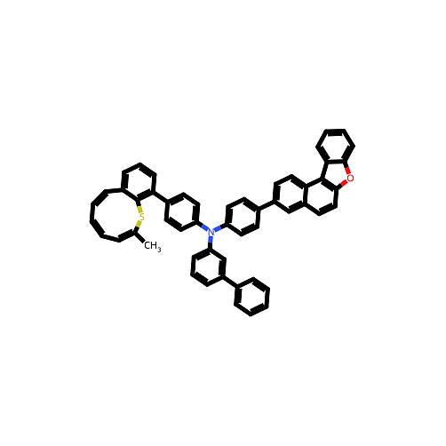 Cc1cccccc2cccc(-c3ccc(N(c4ccc(-c5ccc6c(ccc7oc8ccccc8c76)c5)cc4)c4cccc(-c5ccccc5)c4)cc3)c2s1